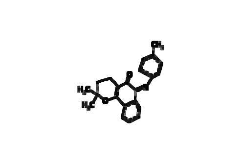 Cc1ccc(N=C2C(=O)C3=C(OC(C)(C)CC3)c3ccccc32)cc1